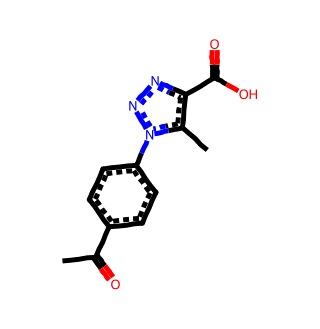 CC(=O)c1ccc(-n2nnc(C(=O)O)c2C)cc1